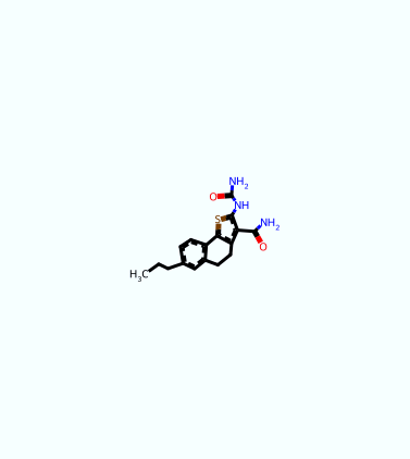 CCCc1ccc2c(c1)CCc1c-2sc(NC(N)=O)c1C(N)=O